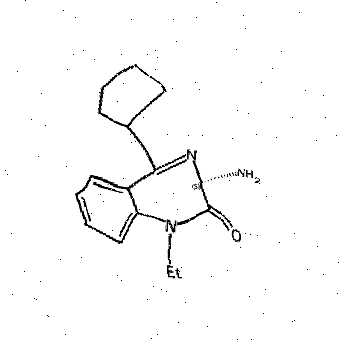 CCN1C(=O)[C@@H](N)N=C(C2CCCC2)c2ccccc21